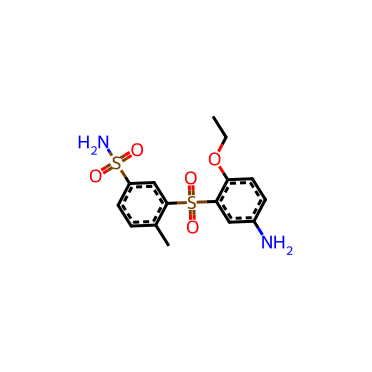 CCOc1ccc(N)cc1S(=O)(=O)c1cc(S(N)(=O)=O)ccc1C